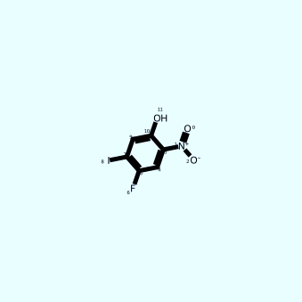 O=[N+]([O-])c1cc(F)c(I)cc1O